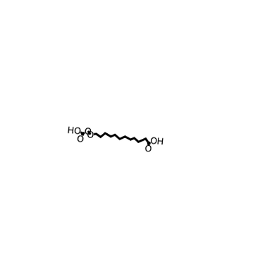 O=C(O)CCCCCCCCCCCOOC(=O)O